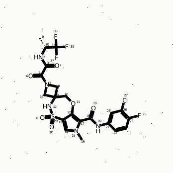 C[C@@H](NC(=O)C(=O)N1CC2(COc3c(cn(C)c3C(=O)Nc3ccc(F)c(Cl)c3)S(=O)(=O)N2)C1)C(F)(F)F